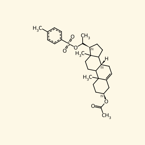 CC(=O)O[C@H]1CCC2(C)C(=CC[C@@H]3C2CCC2(C)C3CC[C@@H]2C(C)OS(=O)(=O)c2ccc(C)cc2)C1